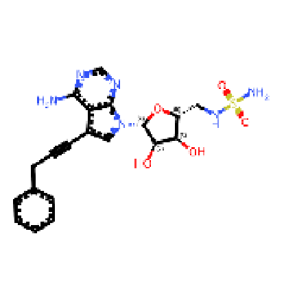 Nc1ncnc2c1c(C#CCc1ccccc1)cn2[C@@H]1O[C@H](CNS(N)(=O)=O)[C@@H](O)[C@H]1O